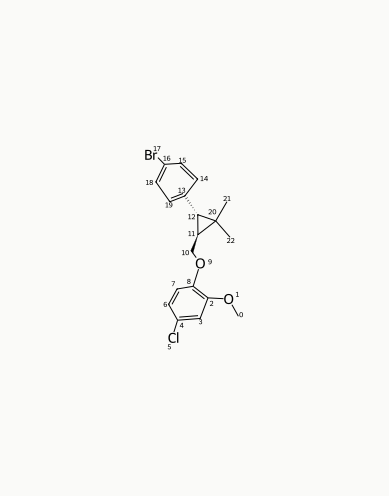 COc1cc(Cl)ccc1OC[C@H]1[C@H](c2ccc(Br)cc2)C1(C)C